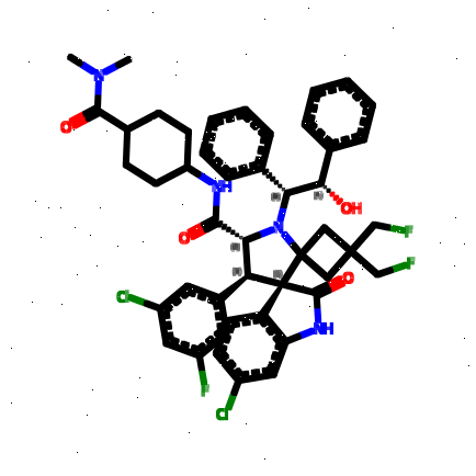 CN(C)C(=O)C1CCC(NC(=O)[C@H]2[C@H](c3cc(F)cc(Cl)c3)[C@@]3(C(=O)Nc4cc(Cl)ccc43)C3(CC(CF)(CF)C3)N2[C@H](c2ccccc2)[C@@H](O)c2ccccc2)CC1